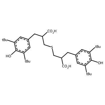 CC(C)(C)c1cc(CC(CSCC(Cc2cc(C(C)(C)C)c(O)c(C(C)(C)C)c2)C(=O)O)C(=O)O)cc(C(C)(C)C)c1O